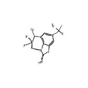 N=c1sc2cc(C(F)(F)F)cc3c2n1CC(F)(F)C3O